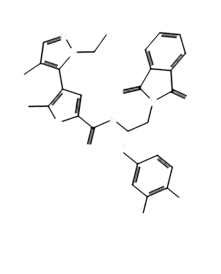 CCn1ncc(Cl)c1-c1cc(C(=O)N[C@@H](Cc2ccc(F)c(F)c2)CN2C(=O)c3ccccc3C2=O)oc1C